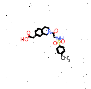 Cc1ccc(S(=O)(=O)NCC(=O)N2CCc3ccc(CC(=O)O)cc3C2)cc1